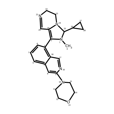 CN1C(c2cccc3cc(N4CCOCC4)ncc23)=C2C=NCCN2C1C1CC1